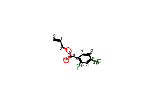 C=CCOC(=O)c1ccc(F)cc1F